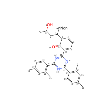 CCCCCCCCCC(CC(C)O)C1C=CC=C(c2nc(-c3ccc(C)cc3C)nc(-c3ccc(C)cc3C)n2)C1=O